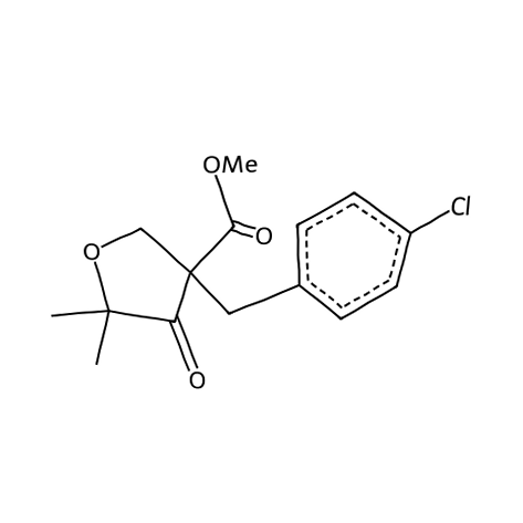 COC(=O)C1(Cc2ccc(Cl)cc2)COC(C)(C)C1=O